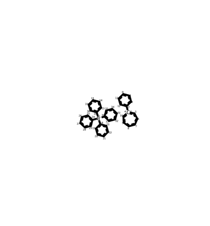 c1ccc(-[c+]2cccccc2)cc1.c1ccc([B-](c2ccccc2)(c2ccccc2)c2ccccc2)cc1